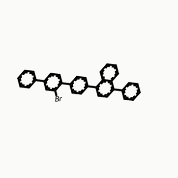 Brc1cc(-c2ccccc2)ccc1-c1ccc(-c2ccc(-c3ccccc3)c3ccccc23)cc1